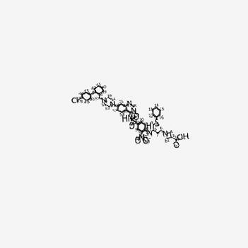 O=C(O)C1CN(CCC(CSc2ccccc2)Nc2ccc(S(=O)(=O)Nc3ncnc4cc(N5CCN(Cc6ccccc6-c6ccc(Cl)cc6)CC5)ccc34)cc2[N+](=O)[O-])C1